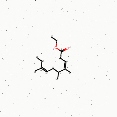 CCOC(=O)CC=C(C)C(C)CC=C(C)CC